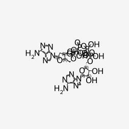 Nc1ncnc2c1ncn2[C@@H]1O[C@H](COP(=O)(O)OP(=O)(O)OP(=O)(O)OP(=O)(O)OC[C@H]2O[C@@H](n3cnc4c(N)ncnc43)C[C@H]2O)C(O)[C@@H]1O